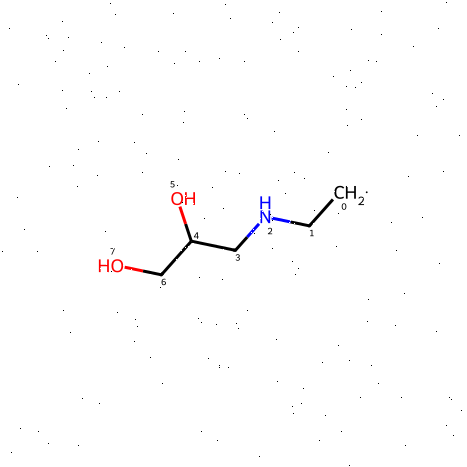 [CH2]CNCC(O)CO